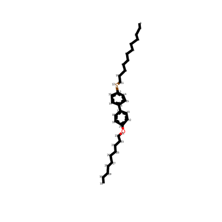 CCCCCCCCCCCCSc1ccc(-c2ccc(OCCCCCCCCCC)cc2)cc1